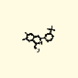 Cc1cc2cc(-c3cccc(C(C)(C)C)c3)nc(C=O)c2cc1C